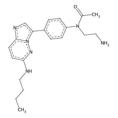 CCCCNc1ccc2ncc(-c3ccc(N(CCN)C(C)=O)cc3)n2n1